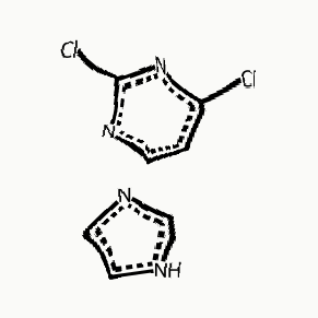 Clc1ccnc(Cl)n1.c1c[nH]cn1